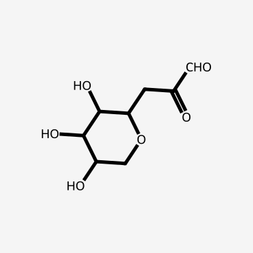 O=CC(=O)CC1OCC(O)C(O)C1O